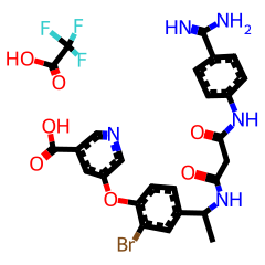 CC(NC(=O)CC(=O)Nc1ccc(C(=N)N)cc1)c1ccc(Oc2cncc(C(=O)O)c2)c(Br)c1.O=C(O)C(F)(F)F